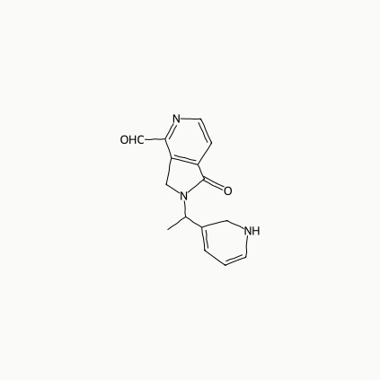 CC(C1=CC=CNC1)N1Cc2c(ccnc2C=O)C1=O